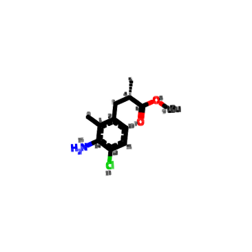 Cc1c(C[C@H](C)C(=O)OC(C)(C)C)ccc(Cl)c1N